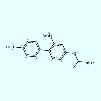 CCCCCCC(C)Oc1ccc(-c2ccc(C(=O)O)cc2)c(NC(C)=O)c1